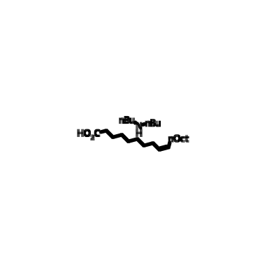 CCCCCCCC/C=C\CCCCCCCC(=O)O.CCCCNCCCC